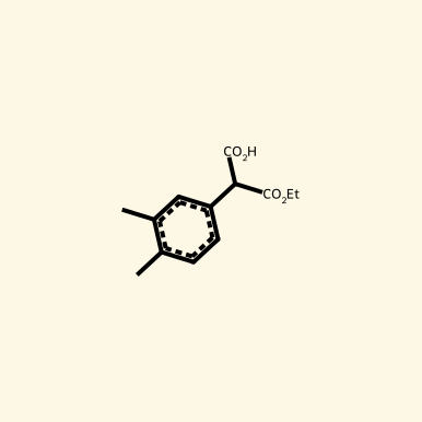 CCOC(=O)C(C(=O)O)c1ccc(C)c(C)c1